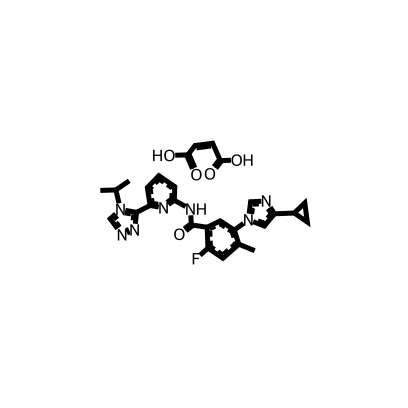 Cc1cc(F)c(C(=O)Nc2cccc(-c3nncn3C(C)C)n2)cc1-n1cnc(C2CC2)c1.O=C(O)/C=C\C(=O)O